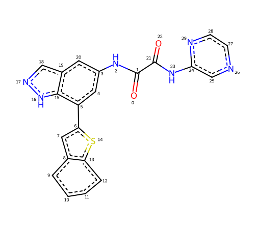 O=C(Nc1cc(-c2cc3ccccc3s2)c2[nH]ncc2c1)C(=O)Nc1cnccn1